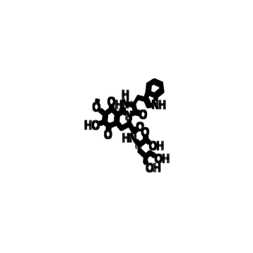 COC1=C(O)C(=O)C2=C(C1=O)[C@H]1N[C@@H](Cc3c[nH]c4ccccc34)C(=O)N1C(C(=O)N[C@@H](CC(CO)CO)C(=O)O)C2